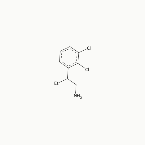 CCC(CN)c1cccc(Cl)c1Cl